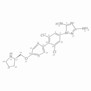 Nc1nc(N)n(-c2cc(Cl)c(-c3ccc(OC[C@H]4CCCN4)cc3)c(Cl)c2)n1